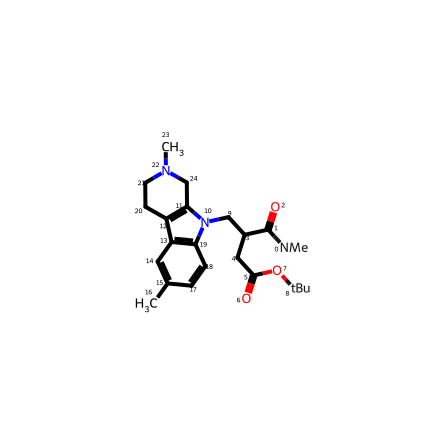 CNC(=O)C(CC(=O)OC(C)(C)C)Cn1c2c(c3cc(C)ccc31)CCN(C)C2